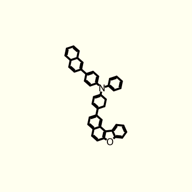 C1=CC2C=CC(c3ccc(N(C4=CC=C(c5ccc6ccc7oc8ccccc8c7c6c5)CC4)c4ccccc4)cc3)=CC2C=C1